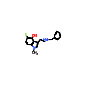 Cn1cc(CCNCc2ccccc2)c2c(O)c(F)ccc21